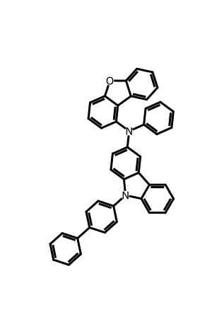 c1ccc(-c2ccc(-n3c4ccccc4c4cc(N(c5ccccc5)c5cccc6oc7ccccc7c56)ccc43)cc2)cc1